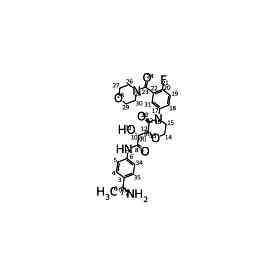 C[C@@H](N)c1ccc(NC(=O)[C@H](O)[C@H]2OCCN(c3ccc(F)c(C(=O)N4CCOCC4)c3)C2=O)cc1